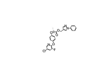 C[C@@H](Oc1ccc(Oc2ncc(Cl)cc2F)cc1)C(=O)OCc1cnn(-c2ccccc2)c1